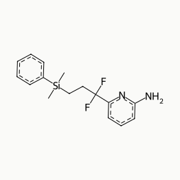 C[Si](C)(CCC(F)(F)c1cccc(N)n1)c1ccccc1